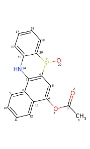 CC(=O)Oc1cc2c(c3ccccc13)Nc1ccccc1[S+]2[O-]